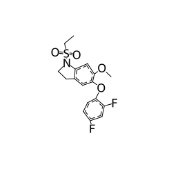 CCS(=O)(=O)N1CCc2cc(Oc3ccc(F)cc3F)c(OC)cc21